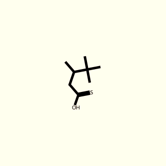 CC(CC(O)=S)C(C)(C)C